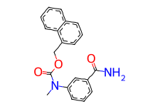 CN(C(=O)OCc1cccc2ccccc12)c1cccc(C(N)=O)c1